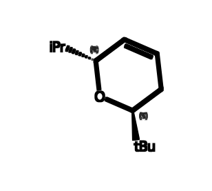 CC(C)[C@@H]1C=CC[C@@H](C(C)(C)C)O1